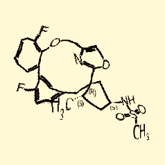 C[C@H]1C[C@H](NS(C)(=O)=O)C[C@]12Cc1ccc(F)c(c1)-c1cccc(F)c1OCc1coc2n1